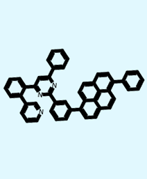 c1ccc(-c2cc(-c3ccccc3-c3cccnc3)nc(-c3cccc(-c4ccc5ccc6c(-c7ccccc7)ccc7ccc4c5c76)c3)n2)cc1